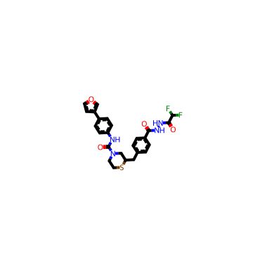 O=C(NNC(=O)C(F)F)c1ccc(CC2CN(C(=O)Nc3ccc(-c4ccoc4)cc3)CCS2)cc1